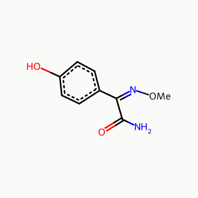 CON=C(C(N)=O)c1ccc(O)cc1